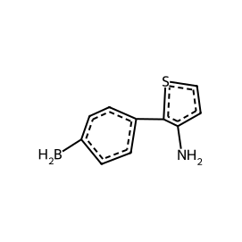 Bc1ccc(-c2sccc2N)cc1